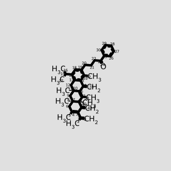 C=C(C)C1=C(C)C[C@@]2(C)C[C@@]3(C)Cc4c(C(C)C)cc(CCCC(=O)c5ccccc5)c(C)c4C(=C)C3=C(C)[C@@]2(C)C1=C